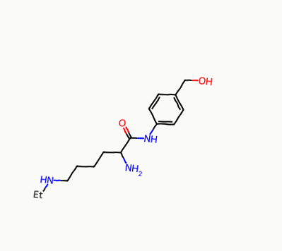 CCNCCCCC(N)C(=O)Nc1ccc(CO)cc1